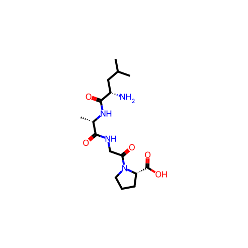 CC(C)C[C@H](N)C(=O)N[C@@H](C)C(=O)NCC(=O)N1CCC[C@H]1C(=O)O